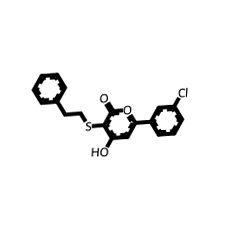 O=c1oc(-c2cccc(Cl)c2)cc(O)c1SCCc1ccccc1